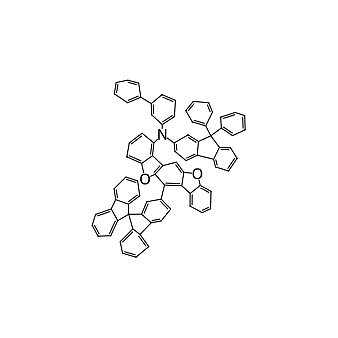 c1ccc(-c2cccc(N(c3ccc4c(c3)C(c3ccccc3)(c3ccccc3)c3ccccc3-4)c3cccc4oc5c(-c6ccc7c(c6)C6(c8ccccc8-c8ccccc86)c6ccccc6-7)c6c(cc5c34)oc3ccccc36)c2)cc1